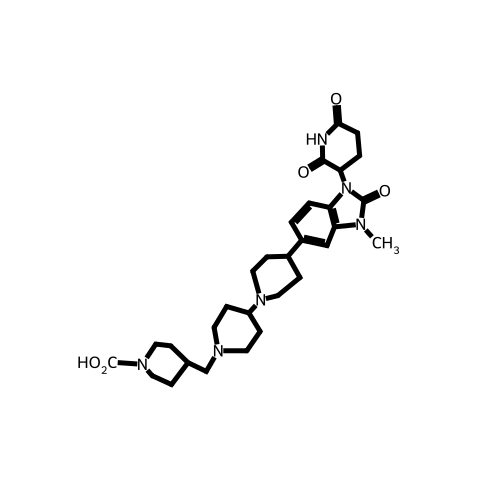 Cn1c(=O)n(C2CCC(=O)NC2=O)c2ccc(C3CCN(C4CCN(CC5CCN(C(=O)O)CC5)CC4)CC3)cc21